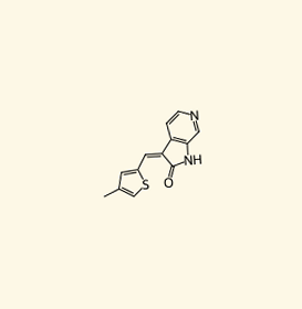 Cc1csc(C=C2C(=O)Nc3cnccc32)c1